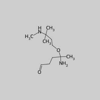 CNC(C)(C)CCOC(C)(N)CCC=O